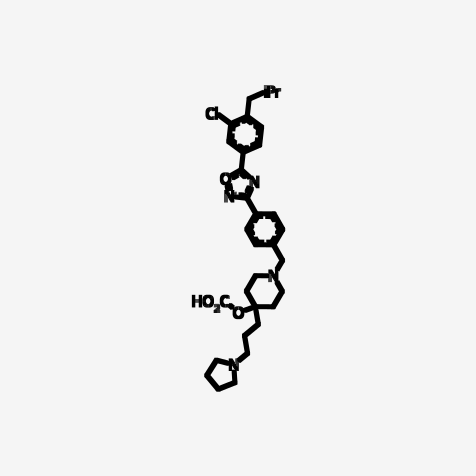 CC(C)Cc1ccc(-c2nc(-c3ccc(CN4CCC(CCCN5CCCC5)(OC(=O)O)CC4)cc3)no2)cc1Cl